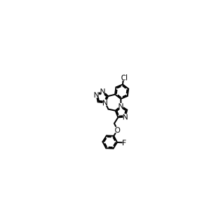 Fc1ccccc1OCc1ncn2c1Cn1cnnc1-c1cc(Cl)ccc1-2